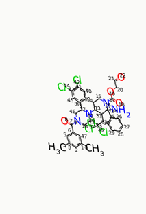 Cc1cc(C)cc(C(=O)N2CCN(C3CCN(C(=O)OCC=O)C(N)(c4ccccc4)C3CC(Cl)(Cl)Cl)C(c3ccc(Cl)c(Cl)c3)C2)c1